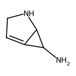 NC1C2=CCNC21